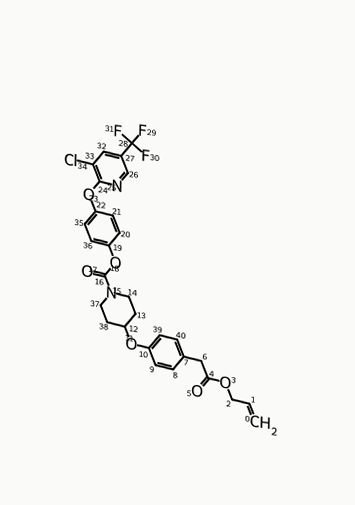 C=CCOC(=O)Cc1ccc(OC2CCN(C(=O)Oc3ccc(Oc4ncc(C(F)(F)F)cc4Cl)cc3)CC2)cc1